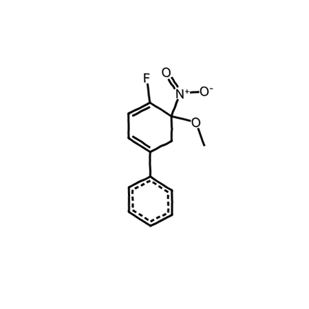 COC1([N+](=O)[O-])CC(c2ccccc2)=CC=C1F